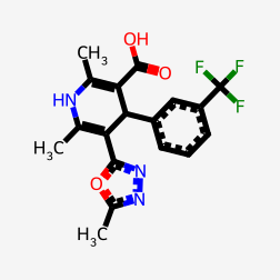 CC1=C(C(=O)O)C(c2cccc(C(F)(F)F)c2)C(c2nnc(C)o2)=C(C)N1